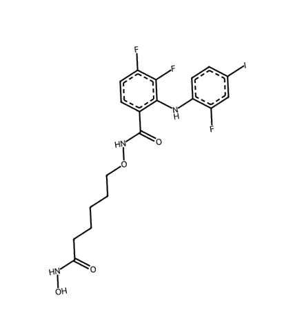 O=C(CCCCCONC(=O)c1ccc(F)c(F)c1Nc1ccc(I)cc1F)NO